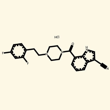 Cl.N#Cc1c[nH]c2c(C(=O)N3CCN(CCc4ccc(F)cc4F)CC3)cccc12